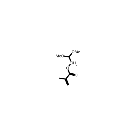 C=C(C)C(=O)O[SiH2]C(OC)OC